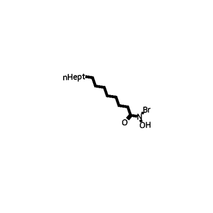 CCCCCCCCCCCCCCC(=O)N(O)Br